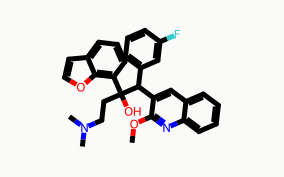 COc1nc2ccccc2cc1C(c1cccc(F)c1)C(O)(CCN(C)C)c1cccc2ccoc12